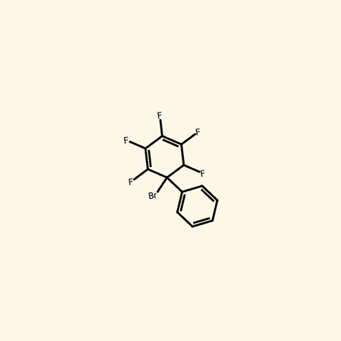 FC1=C(F)C(F)C(Br)(c2ccccc2)C(F)=C1F